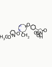 C=C1CC[C@@H](Oc2ccc(C3CC(=O)NS3(=O)=O)cc2)C/C=C\C=C/1Oc1cccc(OC)n1